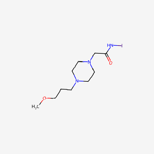 COCCCN1CCN(CC(=O)NI)CC1